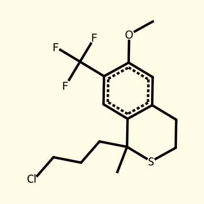 COc1cc2c(cc1C(F)(F)F)C(C)(CCCCl)SCC2